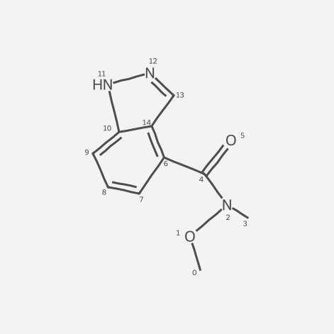 CON(C)C(=O)c1cccc2[nH]ncc12